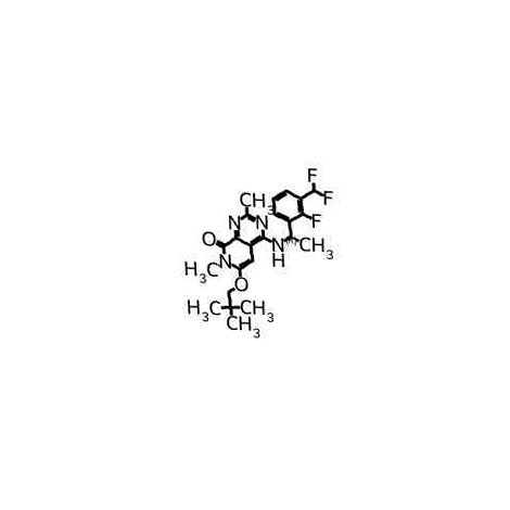 Cc1nc(N[C@H](C)c2cccc(C(F)F)c2F)c2cc(OCC(C)(C)C)n(C)c(=O)c2n1